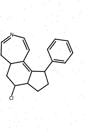 ClC1CC2CC=NC=CC2=C2C(c3ccccc3)CCC21